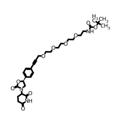 CC(C)(C)OC(=O)NCCOCCOCCOCCOCC#Cc1ccc([C@H]2CN(C3CCC(=O)NC3=O)C(=O)O2)cc1